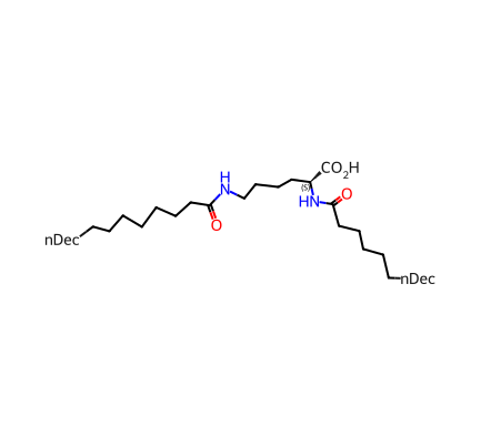 CCCCCCCCCCCCCCCCCC(=O)NCCCC[C@H](NC(=O)CCCCCCCCCCCCCCC)C(=O)O